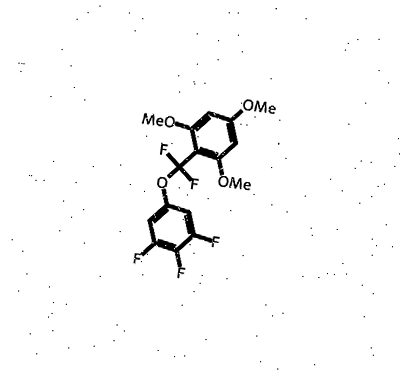 COc1cc(OC)c(C(F)(F)Oc2cc(F)c(F)c(F)c2)c(OC)c1